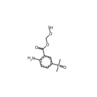 CP(C)(=O)c1ccc(N)c(C(=O)OCOS)c1